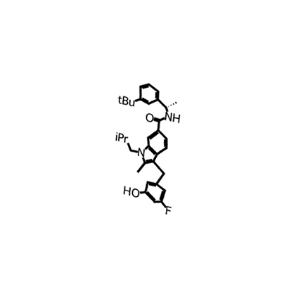 Cc1c(Cc2cc(O)cc(F)c2)c2ccc(C(=O)N[C@@H](C)c3cccc(C(C)(C)C)c3)cc2n1CC(C)C